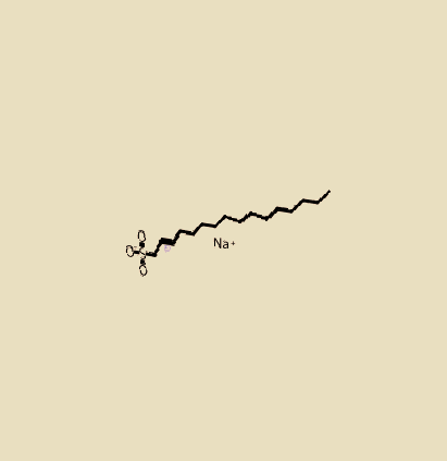 CCCCCCCCCCCCC/C=C/CS(=O)(=O)[O-].[Na+]